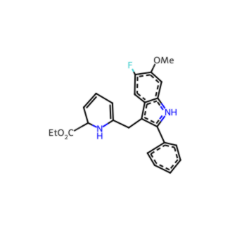 CCOC(=O)C1C=CC=C(Cc2c(-c3ccccc3)[nH]c3cc(OC)c(F)cc23)N1